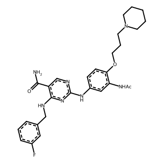 CC(=O)Nc1cc(Nc2ncc(C(N)=O)c(NCc3cccc(F)c3)n2)ccc1OCCCN1CCCCC1